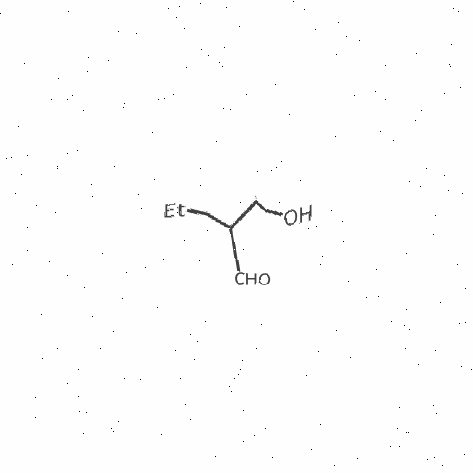 CCC([CH]O)C=O